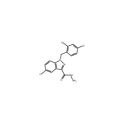 NNC(=O)c1nn(Cc2ccc(Cl)cc2Cl)c2ccc(Cl)cc12